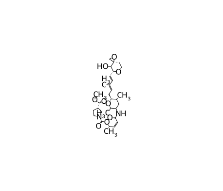 COC(=O)[C@H]1CCN(C(=O)O[C@@H](C)/C=C\C(=O)N[C@@H]2C[C@H](C)[C@H](C/C=C(C)/C=C/[C@H]3OCC[C@@]4(CO4)[C@@H]3O)O[C@@H]2C)C1